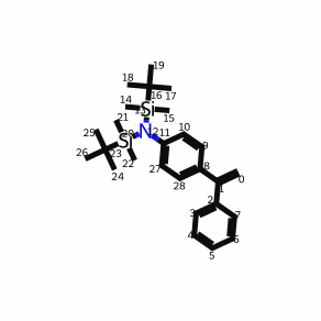 C=C(c1ccccc1)c1ccc(N([Si](C)(C)C(C)(C)C)[Si](C)(C)C(C)(C)C)cc1